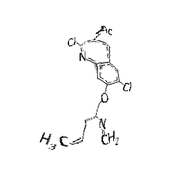 C=N/C(=C\C=C/C)COc1cc2nc(Cl)c(C(C)=O)cc2cc1Cl